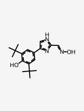 CC(C)(C)c1cc(-c2c[nH]c(C=NO)n2)cc(C(C)(C)C)c1O